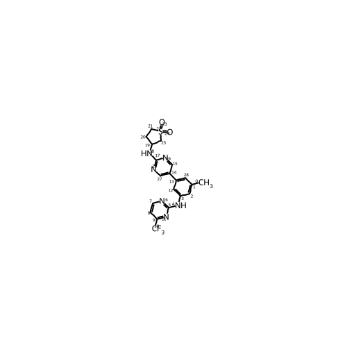 Cc1cc(Nc2nccc(C(F)(F)F)n2)cc(-c2cnc(NC3CCS(=O)(=O)C3)nc2)c1